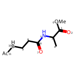 COC(=O)C(C)NC(=O)CCBC(C)=O